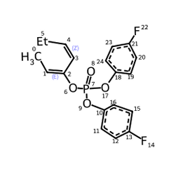 C/C=C(\C=C/CC)OP(=O)(Oc1ccc(F)cc1)Oc1ccc(F)cc1